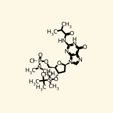 CC(C)C(=O)Nc1nc2c(ncn2[C@H]2C[C@H](O[Si](C)(C)C(C)(C)C)[C@@H](CO[P@@](=O)(Cl)N(C)C)O2)c(=O)[nH]1